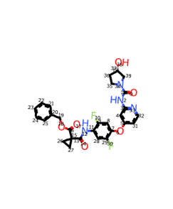 O=C(Nc1cc(Oc2cc(F)c(NC(=O)C3(C(=O)OCc4ccccc4)CC3)cc2F)ccn1)N1CC[C@H](O)C1